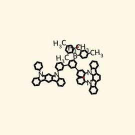 Cc1ccc(B(c2cc(-c3cccc(-n4c5ccccc5c5cc6c7ccccc7n(-c7ccccc7)c6cc54)c3)cc(-c3cccc(-n4c5ccccc5c5ccc6c7ccccc7n(-c7ccccc7)c6c54)c3)c2)c2c(C)cc(C)cc2C)c(C)c1